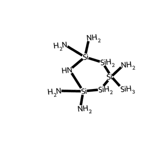 N[Si]1(N)N[Si](N)(N)[SiH2][Si](N)([SiH3])[SiH2]1